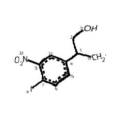 [CH2]C(CO)c1ccc(I)c([N+](=O)[O-])c1